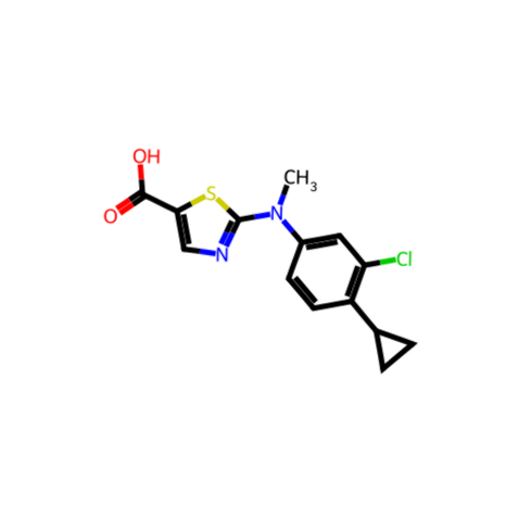 CN(c1ccc(C2CC2)c(Cl)c1)c1ncc(C(=O)O)s1